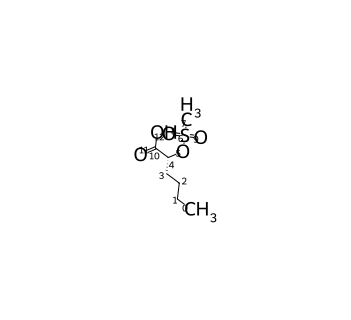 CCCC[C@@H](OS(C)(=O)=O)C(=O)O